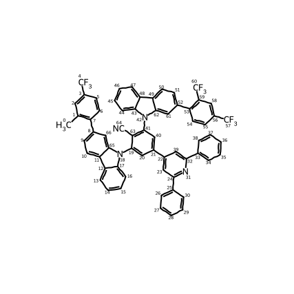 Cc1cc(C(F)(F)F)ccc1-c1ccc2c3ccccc3n(-c3cc(-c4cc(-c5ccccc5)nc(-c5ccccc5)c4)cc(-n4c5ccccc5c5ccc(-c6ccc(C(F)(F)F)cc6C(F)(F)F)cc54)c3C#N)c2c1